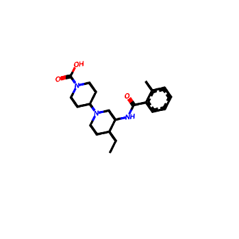 CCC1CCN(C2CCN(C(=O)O)CC2)CC1NC(=O)c1ccccc1C